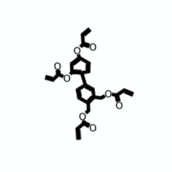 C=CC(=O)OCc1ccc(-c2ccc(OC(=O)C=C)cc2OC(=O)C=C)cc1COC(=O)C=C